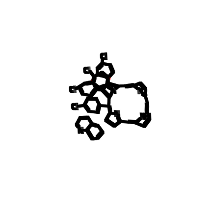 Clc1ccc(-c2c(-c3ccc(Cl)cc3)c3c(-c4ccc(Cl)cc4)c4nc(cc5ccc(cc6nc(cc2n3-c2ccc(Cl)cc2)C=C6)[nH]5)C=C4)cc1.c1ccc2ncccc2c1